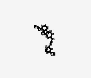 CCOc1ccnc(N2CCC(=CC#Cc3cncc(C#N)c3)CC2)c1C#N